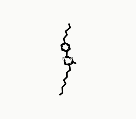 CCCCCCCCc1cnc(-c2ccc(CCCCC)cc2)nc1C